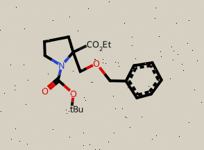 CCOC(=O)C1(COCc2ccccc2)CCCN1C(=O)OC(C)(C)C